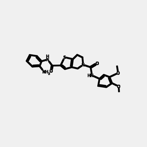 COc1ccc(NC(=O)N2CCc3sc(C(=O)Nc4ccccc4N)cc3C2)cc1OC